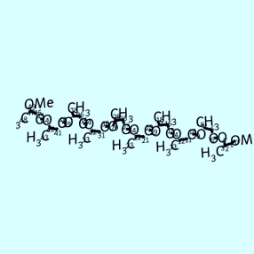 COCC(C)OOCC(C)OOCC(C)OOCC(C)OOCC(C)OOCC(C)OOCC(C)OOCC(C)OOCC(C)OOCC(C)OC